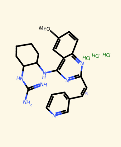 COc1ccc2nc(/C=C\c3cccnc3)nc(NC3CCCCC3NC(=N)N)c2c1.Cl.Cl.Cl